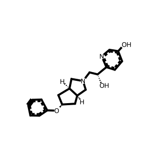 Oc1ccc([C@H](O)CN2C[C@H]3C[C@H](Oc4cc#ccc4)C[C@H]3C2)nc1